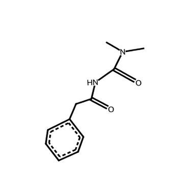 CN(C)C(=O)NC(=O)Cc1ccccc1